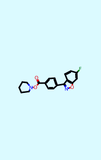 O=C(ON1CCCCC1)c1ccc(-c2noc3cc(F)ccc23)cc1